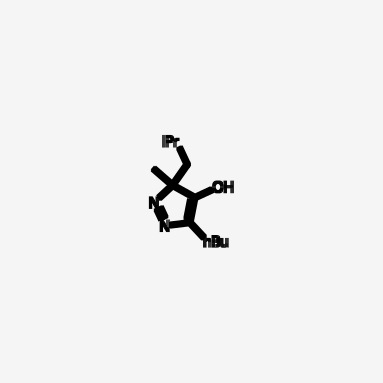 CCCCC1=C(O)C(C)(CC(C)C)N=N1